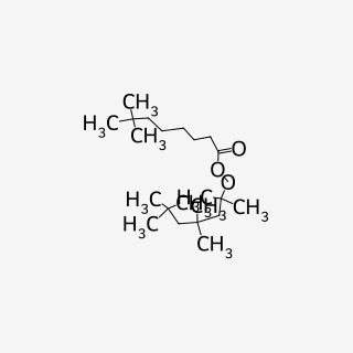 CC(C)(C)CCCCCC(=O)OOC(C)(C)CC(C)(C)CC(C)(C)C